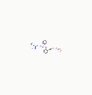 Cc1ncn2ccnc2c1C(=O)NC(C)c1nc2cccc(C#CCNC(=O)[C@H]3CCCO3)c2c(=O)n1-c1ccccc1